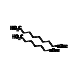 CCCCCCCCCCCCCCCC(=O)O.CCCCCCCCCCCCCCCCCC(=O)O